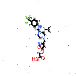 CC(C)C[C@@H]1CN(Cc2cc(OCC(=O)O)on2)CCN1c1nc2ccc(C(F)(F)F)cc2s1